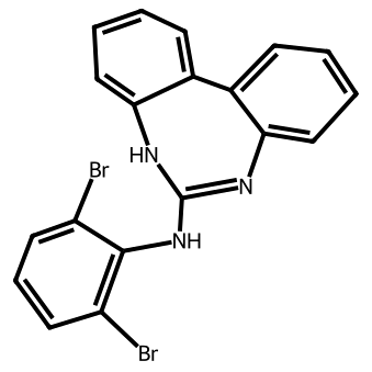 Brc1cccc(Br)c1NC1=Nc2ccccc2-c2ccccc2N1